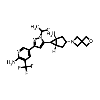 CC(C)n1nc(-c2cnc(N)c(C(F)(F)F)c2)cc1[C@H]1[C@@H]2C[C@H](N3CC4(COC4)C3)C[C@@H]21